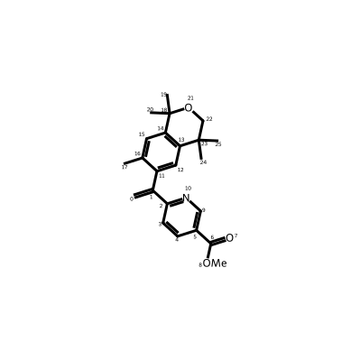 C=C(c1ccc(C(=O)OC)cn1)c1cc2c(cc1C)C(C)(C)OCC2(C)C